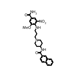 COc1cc(C(N)=O)cc([N+](=O)[O-])c1NCCCN1CCC(NC(=O)c2ccc3ccccc3c2)CC1